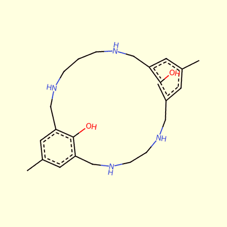 Cc1cc2c(O)c(c1)CNCCNCc1cc(C)cc(c1O)CNCCCNC2